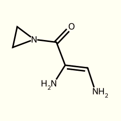 NC=C(N)C(=O)N1CC1